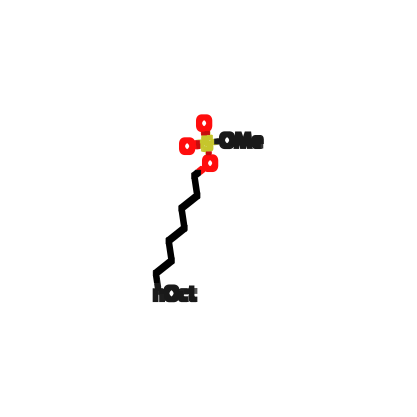 CCCCCCCCCCCCCCCOS(=O)(=O)OC